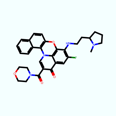 CN1CCCC1CCNc1c(F)cc2c(=O)c(C(=O)N3CCOCC3)cn3c2c1Oc1ccc2ccccc2c1-3